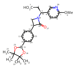 COc1ccc([C@H](CC(=O)O)N2CC(c3ccc(B4OC(C)(C)C(C)(C)O4)cc3)C2=O)cn1